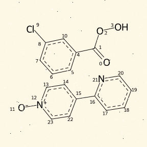 O=C(OO)c1cccc(Cl)c1.[O-][n+]1ccc(-c2ccccn2)cc1